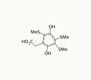 CSc1c(O)c(SC)c(SC)c(O)c1CC(=O)O